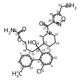 Cc1cccc(-c2c(Cl)cccc2[C@](O)(CCCOC(N)=O)C2CCCN(C(=O)c3cc(CN)on3)C2)c1